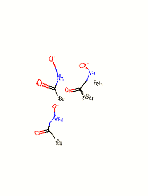 CC(C)(C)C(=O)N[O-].CC(C)(C)C(=O)N[O-].CC(C)(C)C(=O)N[O-].[Fe+3]